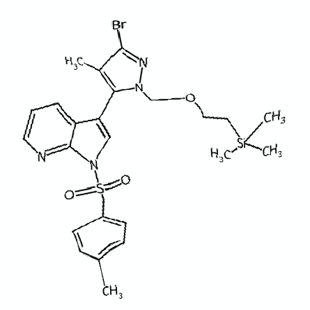 Cc1ccc(S(=O)(=O)n2cc(-c3c(C)c(Br)nn3COCC[Si](C)(C)C)c3cccnc32)cc1